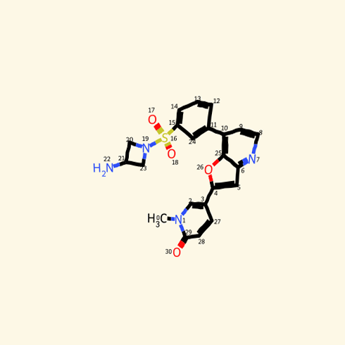 Cn1cc(-c2cc3nccc(-c4cccc(S(=O)(=O)N5CC(N)C5)c4)c3o2)ccc1=O